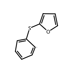 [c]1ccccc1Sc1ccco1